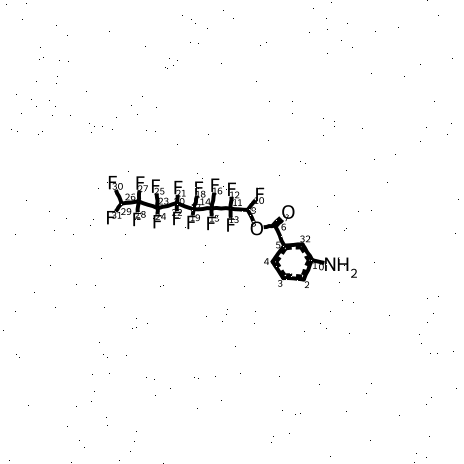 Nc1cccc(C(=O)OC(F)C(F)(F)C(F)(F)C(F)(F)C(F)(F)C(F)(F)C(F)(F)C(F)F)c1